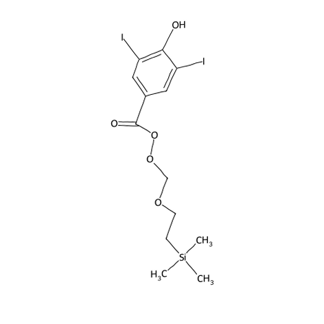 C[Si](C)(C)CCOCOOC(=O)c1cc(I)c(O)c(I)c1